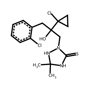 CC1(C)NC(=S)N(CC(O)(Cc2ccccc2Cl)C2(Cl)CC2)N1